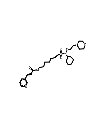 O=C(/C=C/c1cccnc1)NCCCCCCCS(=O)(=O)N(OCCN1CCOCC1)C1CCCCC1